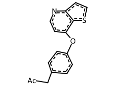 CC(=O)Cc1ccc(Oc2ccnc3ccsc23)cc1